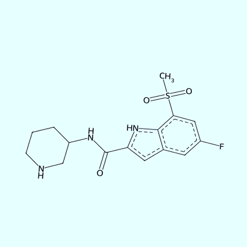 CS(=O)(=O)c1cc(F)cc2cc(C(=O)NC3CCCNC3)[nH]c12